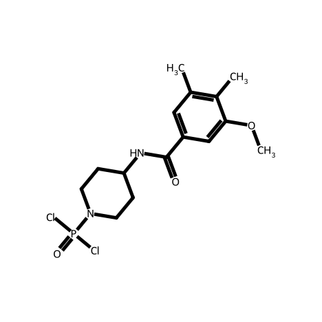 COc1cc(C(=O)NC2CCN(P(=O)(Cl)Cl)CC2)cc(C)c1C